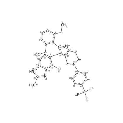 CCc1cccc(CC)c1-n1nc2c(c1-c1ccc3[nH]c(C)nc3c1Cl)CN(c1ncc(C(F)(F)F)cn1)CC2